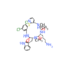 CN1C(=O)[C@H](CCCCN)NC(=O)C(C)(C)NCc2cccnc2Sc2c(Cl)cc(Cl)cc2CNC(=O)[C@@H]1Cc1c[nH]c2ccccc12